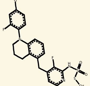 CSS(=O)(=O)Nc1nccc(Cc2cccc3c2CCCN3c2ccc(Cl)cc2F)c1F